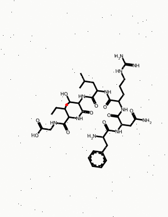 CCC(C)C(NC(=O)C(NC(=O)C(CC(C)C)NC(=O)C(CCCNC(=N)N)NC(=O)C(CC(N)=O)NC(=O)C(N)Cc1ccccc1)C(C)O)C(=O)NCC(=O)O